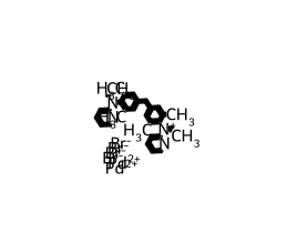 CC=[N+](c1ccccn1)c1c(C)cc(Cc2cc(C)c([N+](=CC)c3ccccn3)c(C)c2)cc1C.[Br-].[Br-].[Br-].[Br-].[Pd+2].[Pd+2]